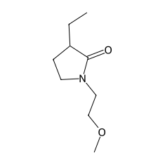 CCC1CCN(CCOC)C1=O